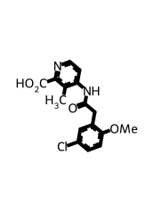 COc1ccc(Cl)cc1CC(=O)Nc1ccnc(C(=O)O)c1C